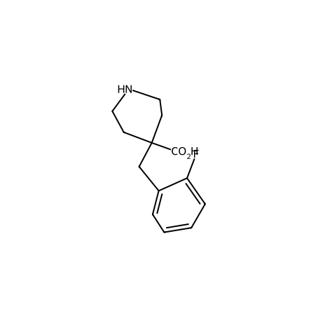 O=C(O)C1(Cc2ccccc2F)CCNCC1